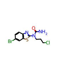 NC(=O)N(CCCCl)c1nc2ccc(Br)cc2s1